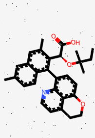 CCC(C)(C)O[C@H](C(=O)O)c1c(C)cc2cc(C)ccc2c1-c1ccc2c3c(ccnc13)CCO2